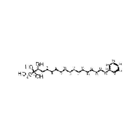 O=C(O)C(O)(O)C(O)CCCCCCCCCCCCCCCc1ccccc1